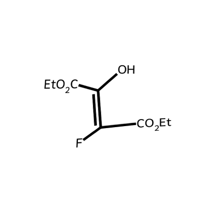 CCOC(=O)C(O)=C(F)C(=O)OCC